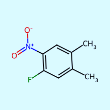 Cc1cc(F)c([N+](=O)[O-])cc1C